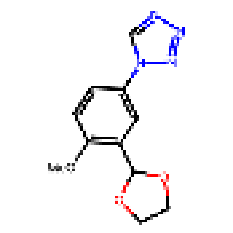 COc1ccc(-n2cnnn2)cc1C1OCCO1